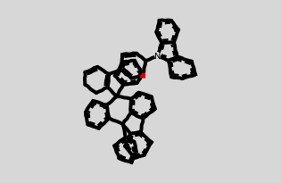 C1=CC(C2=CCC(n3c4ccccc4c4ccccc43)C=C2)=C(C2(c3ccccc3)c3ccccc3C3(c4ccccc4)c4ccccc4-c4cccc2c43)CC1